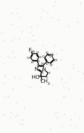 CC1(O)CCn2c1nc(-c1ccc(F)cc1)c2-c1ccncc1